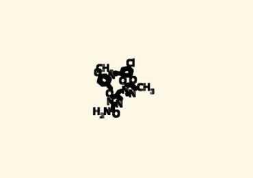 COc1ccc(COc2nc(C(N)=O)ncc2Cn2cnc(C)c(Oc3cc(Cl)cc(C#N)c3)c2=O)cc1